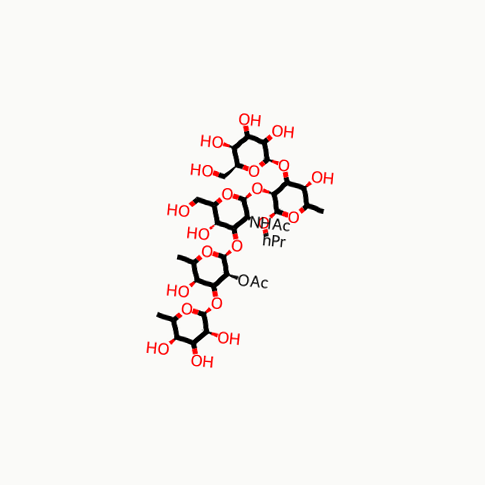 CCCO[C@@H]1OC(C)[C@H](O)C(O[C@H]2O[C@@H](CO)[C@@H](O)C(O)C2O)[C@@H]1O[C@@H]1OC(CO)[C@@H](O)C(O[C@@H]2OC(C)[C@H](O)C(O[C@@H]3OC(C)[C@H](O)C(O)[C@@H]3O)[C@@H]2OC(C)=O)[C@@H]1NC(C)=O